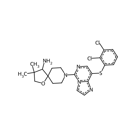 CC1(C)COC2(CCN(c3ncc(Sc4cccc(Cl)c4Cl)c4nccn34)CC2)C1N